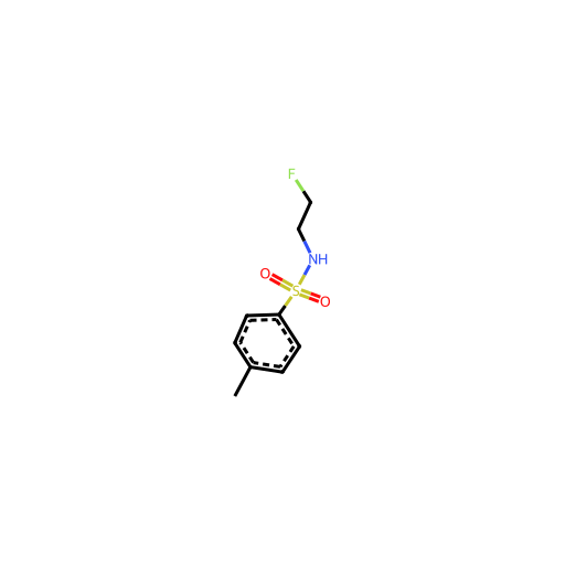 Cc1ccc(S(=O)(=O)NCCF)cc1